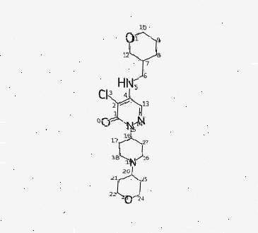 O=c1c(Cl)c(NCC2CCCOC2)cnn1C1CCN(C2CCOCC2)CC1